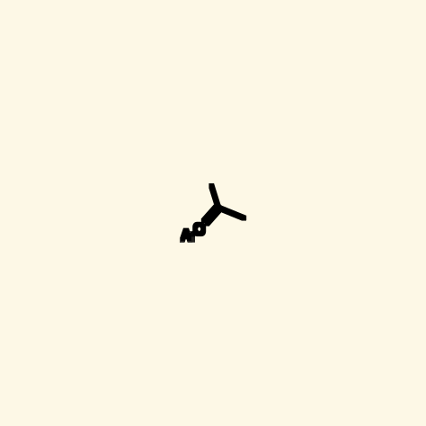 CC(C)=O.[Ar]